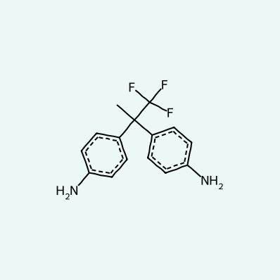 CC(c1ccc(N)cc1)(c1ccc(N)cc1)C(F)(F)F